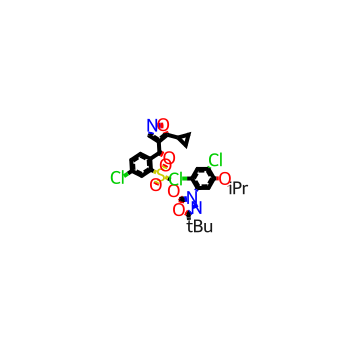 CC(C)Oc1cc(-n2nc(C(C)(C)C)oc2=O)c(Cl)cc1Cl.CS(=O)(=O)c1cc(Cl)ccc1C(=O)c1cnoc1C1CC1